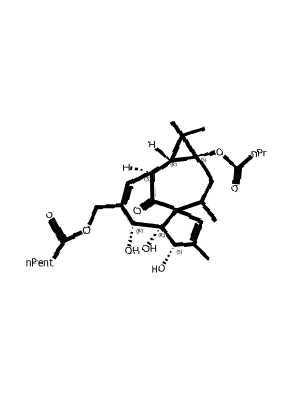 CCCCCC(=O)OCC1=C[C@@H]2C(=O)C3(C=C(C)[C@H](O)[C@@]3(O)[C@@H]1O)C(C)C[C@]1(OC(=O)CCC)[C@H]2C1(C)C